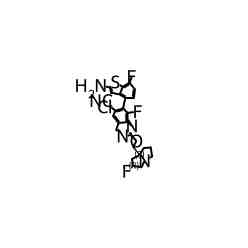 N#Cc1c(N)sc2c(F)ccc(-c3c(Cl)cc4cnc(OC[C@@]56CCCN5C[C@H](F)C6)nc4c3F)c12